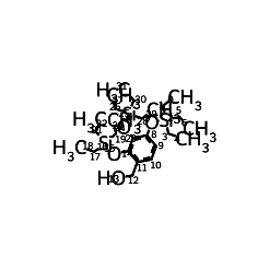 CC[Si](CC)(CC)Oc1ccc(CO)c(O[Si](CC)(CC)CC)c1O[Si](CC)(CC)CC